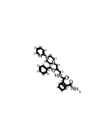 NC(=O)C1C2C=CC(C2)C1C(=O)NCC(CN1CCN(c2ccccn2)CC1)OCc1ccccc1